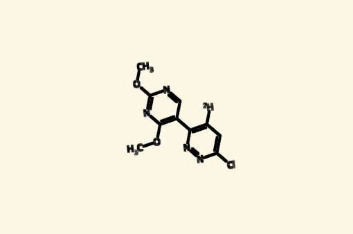 [2H]c1cc(Cl)nnc1-c1cnc(OC)nc1OC